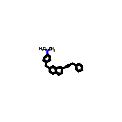 CN(C)c1ccc(Cc2ccc3ccc(C#CCc4ccccc4)cc3c2)cc1